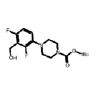 CC(C)(C)OC(=O)N1CCN(c2ccc(F)c(CO)c2F)CC1